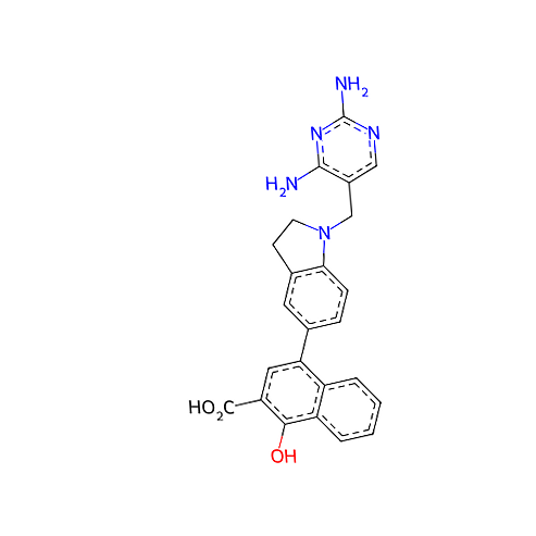 Nc1ncc(CN2CCc3cc(-c4cc(C(=O)O)c(O)c5ccccc45)ccc32)c(N)n1